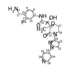 CC1([C@@H](O)C(=O)Nc2ccc(CN)c(F)c2)OCCN(c2ccn(-c3ccncc3)n2)C1=O